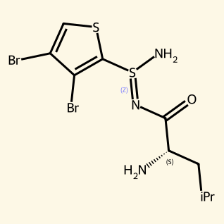 CC(C)C[C@H](N)C(=O)/N=S(\N)c1scc(Br)c1Br